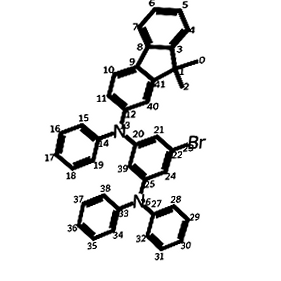 CC1(C)c2ccccc2-c2ccc(N(c3ccccc3)c3cc(Br)cc(N(c4ccccc4)c4ccccc4)c3)cc21